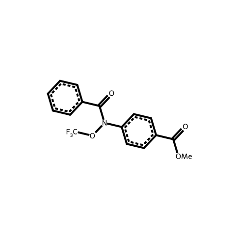 COC(=O)c1ccc(N(OC(F)(F)F)C(=O)c2ccccc2)cc1